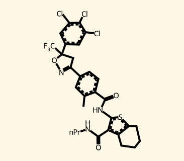 CCCNC(=O)c1c(NC(=O)c2ccc(C3=NOC(c4cc(Cl)c(Cl)c(Cl)c4)(C(F)(F)F)C3)cc2C)sc2c1CCCC2